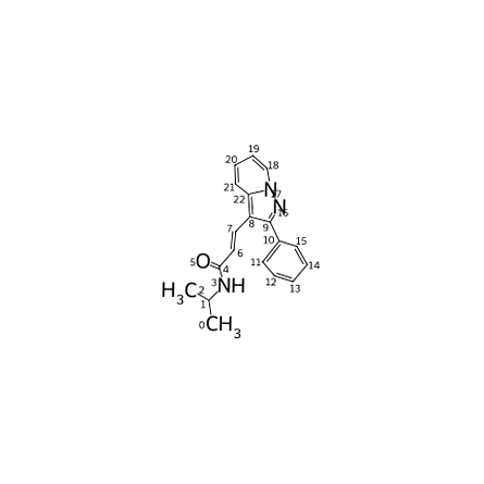 CC(C)NC(=O)/C=C/c1c(-c2ccccc2)nn2ccccc12